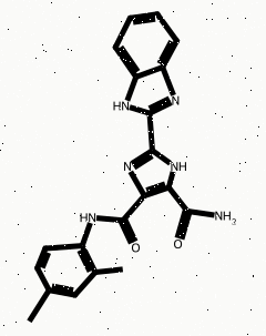 Cc1ccc(NC(=O)c2nc(-c3nc4ccccc4[nH]3)[nH]c2C(N)=O)c(C)c1